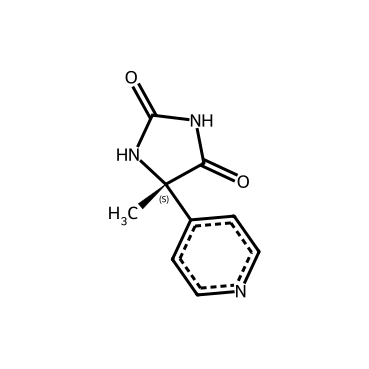 C[C@@]1(c2ccncc2)NC(=O)NC1=O